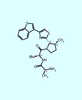 C[C@H](N)C(=O)N[C@H](C(=O)N1CC[C@H](C)[C@H]1c1nc(-c2csc3ccccc23)cs1)C(C)(C)C